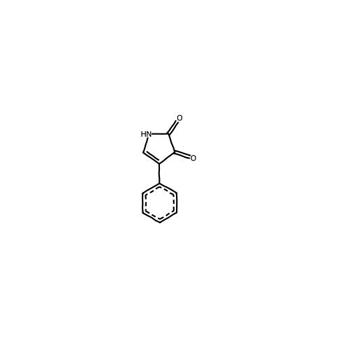 O=C1NC=C(c2ccccc2)C1=O